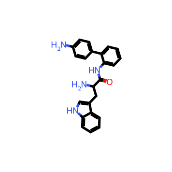 Nc1ccc(-c2ccccc2NC(=O)C(N)Cc2c[nH]c3ccccc23)cc1